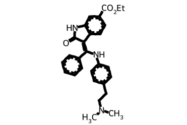 CCOC(=O)c1ccc2c(c1)NC(=O)C2=C(Nc1ccc(CCN(C)C)cc1)c1ccccc1